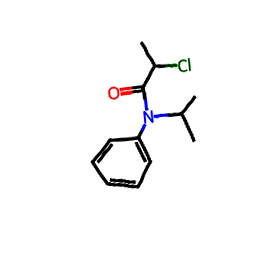 CC(Cl)C(=O)N(c1ccccc1)C(C)C